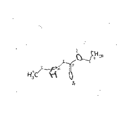 CCOC(=O)CPCC